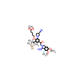 Br.COC(=O)CCCCOc1c(N2CCC(C#N)C2)cc(C(=O)CN2Cc3cc(OC)c(OC)c(F)c3C2=N)cc1C(C)(C)C